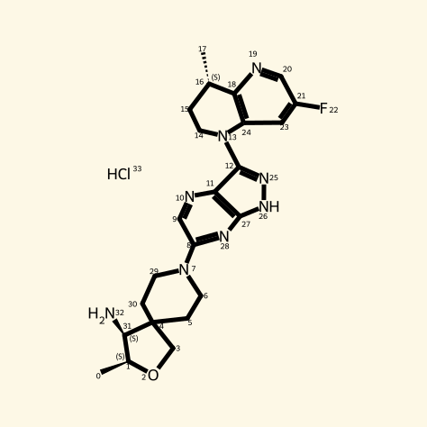 C[C@@H]1OCC2(CCN(c3cnc4c(N5CC[C@H](C)c6ncc(F)cc65)n[nH]c4n3)CC2)[C@@H]1N.Cl